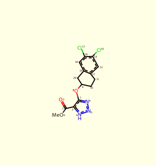 COC(=O)c1[nH]nnc1OC1CCc2cc(Cl)c(Cl)cc2C1